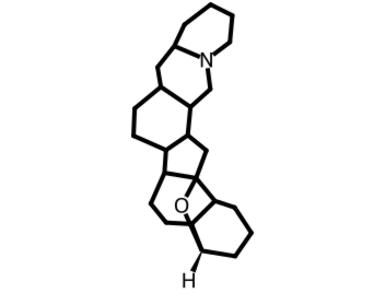 C1CCN2CC3C(CCC4C3CC35O[C@@H]6CCCC3C6CCC45)CC2C1